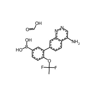 CC(F)(F)Oc1ccc(B(O)O)cc1-c1ccc2c(N)cnnc2c1.O=CO